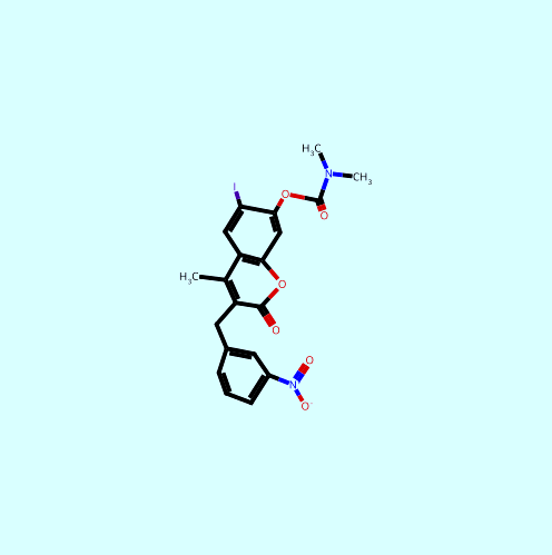 Cc1c(Cc2cccc([N+](=O)[O-])c2)c(=O)oc2cc(OC(=O)N(C)C)c(I)cc12